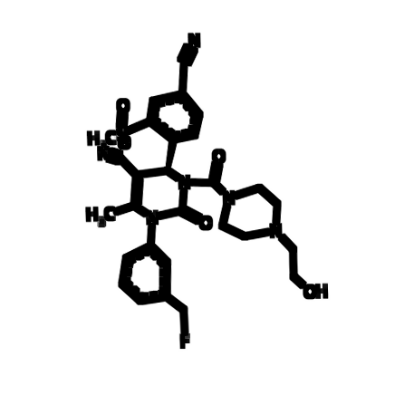 CC1=C(C#N)[C@@H](c2ccc(C#N)cc2S(C)(=O)=O)N(C(=O)N2CCN(CCO)CC2)C(=O)N1c1cccc(CF)c1